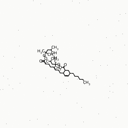 CCCCCCC1C=CC(CCCCCCCC(=O)OOC(C)(C)CC(C)O)C(C(=O)OOC(C)(C)CC(C)O)C1